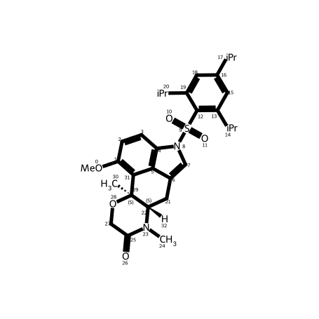 COc1ccc2c3c(cn2S(=O)(=O)c2c(C(C)C)cc(C(C)C)cc2C(C)C)C[C@@H]2N(C)C(=O)CO[C@@]2(C)c13